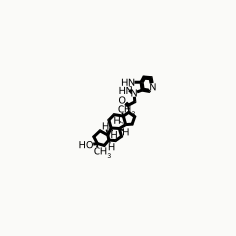 C[C@@]1(O)CC[C@H]2[C@@H](CC[C@@H]3[C@@H]2CC[C@]2(C)[C@@H](C(=O)CN4NNc5ccncc54)CC[C@@H]32)C1